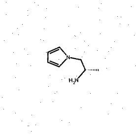 C[C@H](N)Cn1c[c]cc1